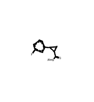 COC(=O)C1CC1c1cccc(F)c1